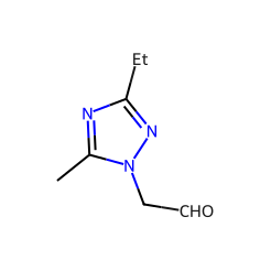 CCc1nc(C)n(CC=O)n1